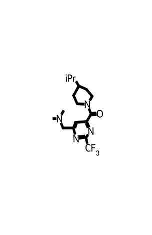 CC(C)C1CCN(C(=O)c2cc(CN(C)C)nc(C(F)(F)F)n2)CC1